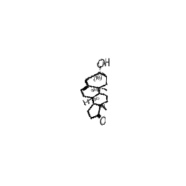 C[C@]12CC[C@@H](O)CC1=CC[C@@H]1C2CC[C@]2(C)C(=O)CCC12